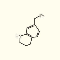 [CH2]C(C)Cc1ccc2c(c1)NCCC2